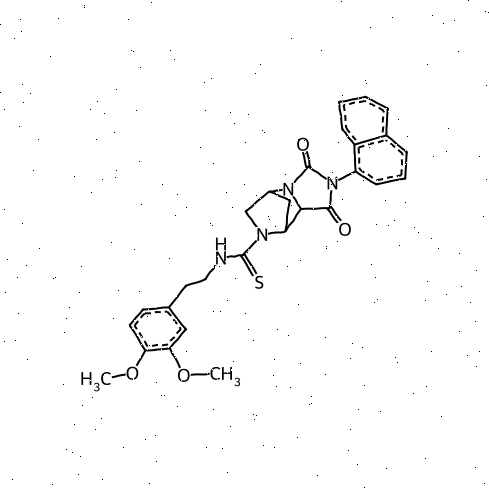 COc1ccc(CCNC(=S)N2CC3CC2C2C(=O)N(c4cccc5ccccc45)C(=O)N32)cc1OC